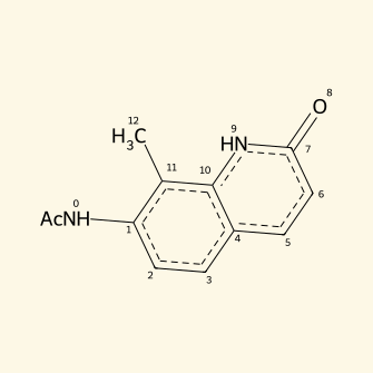 CC(=O)Nc1ccc2ccc(=O)[nH]c2c1C